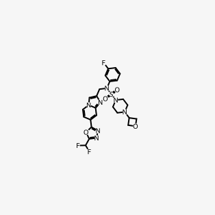 O=S(=O)(N1CCN(C2COC2)CC1)N(Cc1cn2ccc(-c3nnc(C(F)F)o3)cc2n1)c1cccc(F)c1